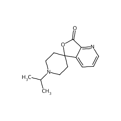 CC(C)N1CCC2(CC1)OC(=O)c1ncccc12